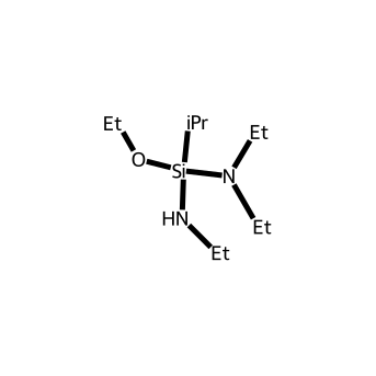 CCN[Si](OCC)(C(C)C)N(CC)CC